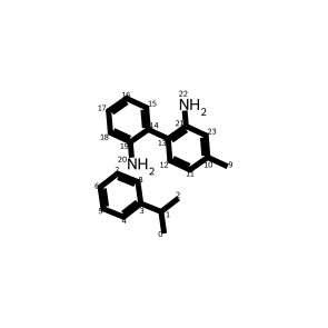 CC(C)c1ccccc1.Cc1ccc(-c2ccccc2N)c(N)c1